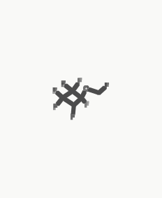 FCOC1(F)C(F)C(F)(F)C1(F)F